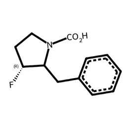 O=C(O)N1CC[C@@H](F)C1Cc1ccccc1